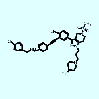 CS(=O)(=O)N1CCc2c(c(-c3ccc(Cl)c(C#Cc4ccc(CNCc5ccc(Cl)cc5)cc4)c3)nn2CCCN2CCC(C(F)(F)F)CC2)C1